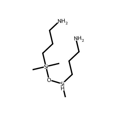 C[SiH](CCCN)O[Si](C)(C)CCCN